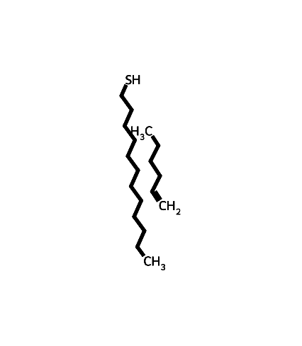 C=CCCCC.CCCCCCCCCCCCS